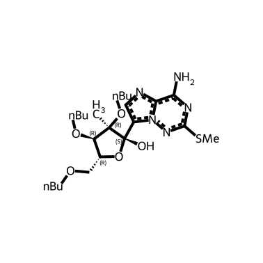 CCCCOC[C@H]1O[C@@](O)(c2cnc3c(N)nc(SC)nn23)[C@](C)(OCCCC)[C@@H]1OCCCC